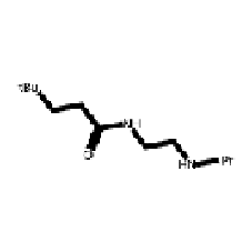 CC(C)NCCNC(=O)CCC(C)(C)C